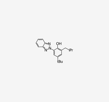 CC(C)Cc1cc(C(C)(C)C)cc(-n2nc3ccccc3n2)c1O